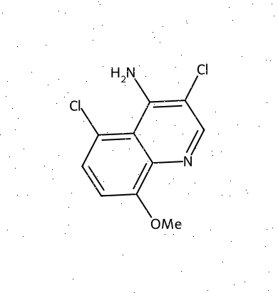 COc1ccc(Cl)c2c(N)c(Cl)cnc12